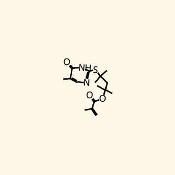 C=C(C)C(=O)OC(C)(C)CC(C)(C)Sc1ncc(C)c(=O)[nH]1